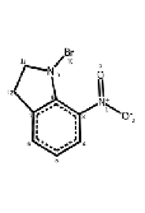 O=[N+]([O-])c1cccc2c1N(Br)CC2